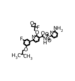 CC(C)COc1cc(F)cc(-c2ccc(C(=O)NS(=O)(=O)c3cccc(N)n3)c(OCC3(F)COC3)n2)c1